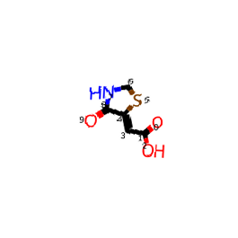 O=C(O)C=C1SCNC1=O